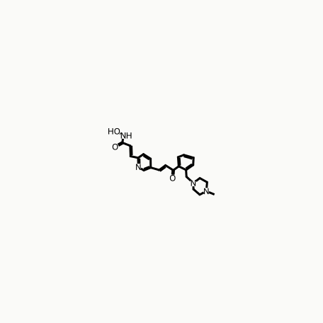 CN1CCN(Cc2ccccc2C(=O)C=Cc2ccc(C=CC(=O)NO)nc2)CC1